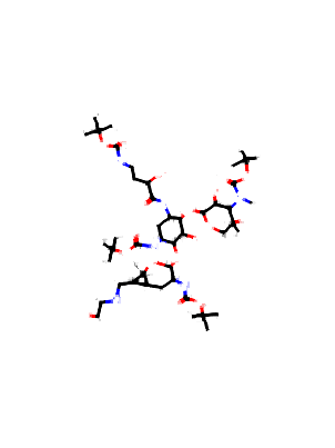 CN(C(=O)OC(C)(C)C)C1C(O)C(OC2C(NC(=O)C(O)CCNC(=O)OC(C)(C)C)CC(NC(=O)OC(C)(C)C)C(OC3O[C@H]4C(CNCCO)C4CC3NC(=O)OC(C)(C)C)C2O)OCC1(C)O